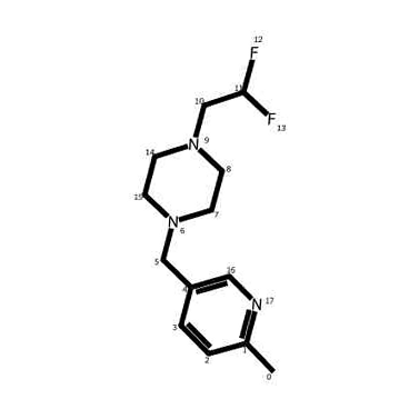 Cc1ccc(CN2CCN(CC(F)F)CC2)cn1